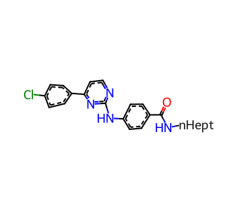 CCCCCCCNC(=O)c1ccc(Nc2nccc(-c3ccc(Cl)cc3)n2)cc1